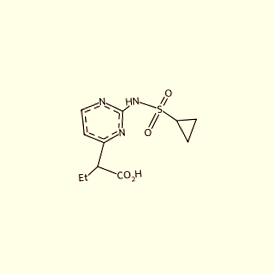 CCC(C(=O)O)c1ccnc(NS(=O)(=O)C2CC2)n1